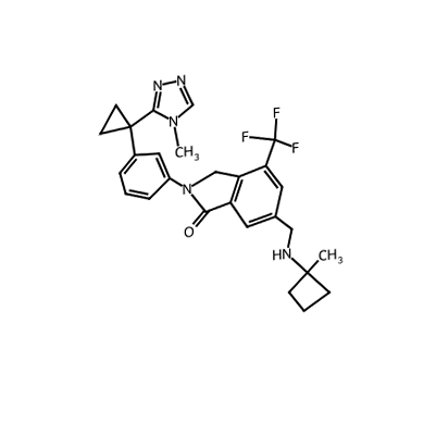 Cn1cnnc1C1(c2cccc(N3Cc4c(cc(CNC5(C)CCC5)cc4C(F)(F)F)C3=O)c2)CC1